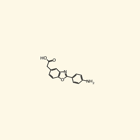 Nc1ccc(-c2nc3cc(CC(=O)O)ccc3o2)cc1